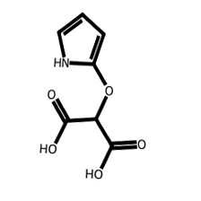 O=C(O)C(Oc1ccc[nH]1)C(=O)O